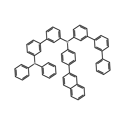 c1ccc(-c2cccc(-c3cccc(N(c4ccc(-c5ccc6ccccc6c5)cc4)c4cccc(-c5cccc(N(c6ccccc6)c6ccccc6)c5)c4)c3)c2)cc1